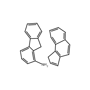 C1=Cc2ccc3ccccc3c2C1.Nc1cccc2c1Cc1ccccc1-2